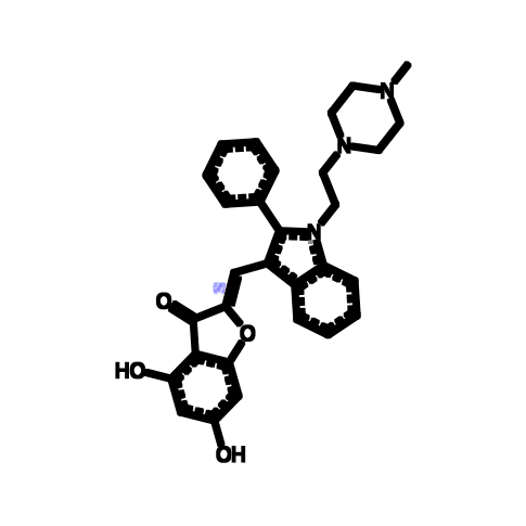 CN1CCN(CCn2c(-c3ccccc3)c(/C=C3\Oc4cc(O)cc(O)c4C3=O)c3ccccc32)CC1